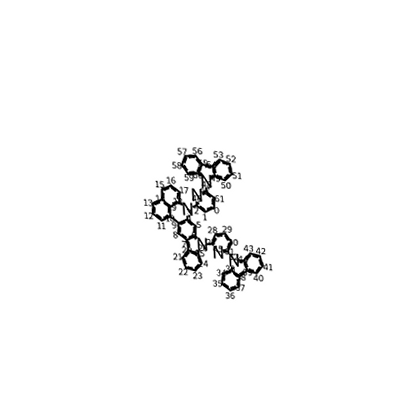 c1cc(N2c3cc4c(cc3-c3cccc5cccc2c35)c2ccccc2n4-c2cccc(-n3c4ccccc4c4ccccc43)n2)nc(-n2c3ccccc3c3ccccc32)c1